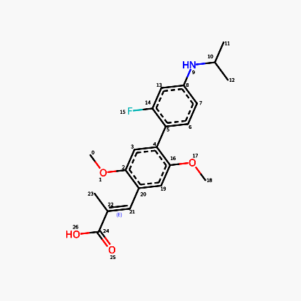 COc1cc(-c2ccc(NC(C)C)cc2F)c(OC)cc1/C=C(\C)C(=O)O